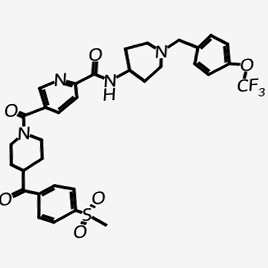 CS(=O)(=O)c1ccc(C(=O)C2CCN(C(=O)c3ccc(C(=O)NC4CCN(Cc5ccc(OC(F)(F)F)cc5)CC4)nc3)CC2)cc1